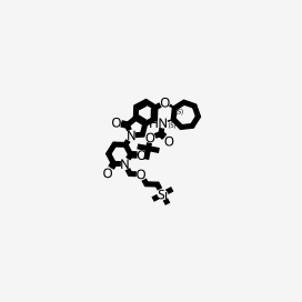 CC(C)(C)OC(=O)N[C@H]1CCCCC[C@@H]1Oc1ccc2c(c1)CN(C1CCC(=O)N(COCC[Si](C)(C)C)C1=O)C2=O